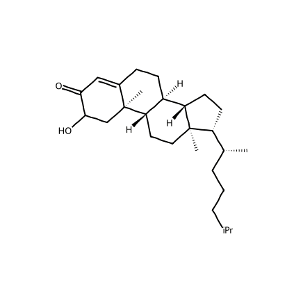 CC(C)CCC[C@@H](C)[C@H]1CC[C@H]2[C@@H]3CCC4=CC(=O)C(O)C[C@]4(C)[C@H]3CC[C@]12C